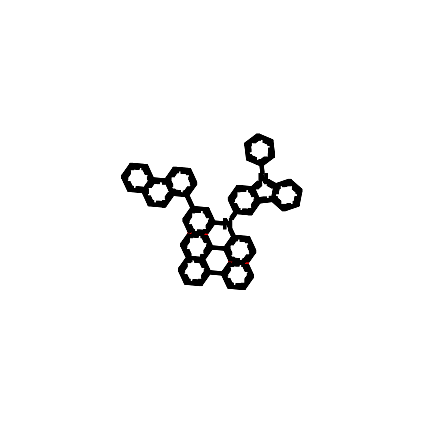 c1ccc(-c2cccc3cccc(-c4ccccc4N(c4cccc(-c5cccc6c5ccc5ccccc56)c4)c4ccc5c(c4)c4ccccc4n5-c4ccccc4)c23)cc1